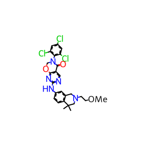 COCCN1Cc2cc(Nc3ncc4c(n3)OCN(c3c(Cl)cc(Cl)cc3Cl)C4=O)ccc2C(C)(C)C1